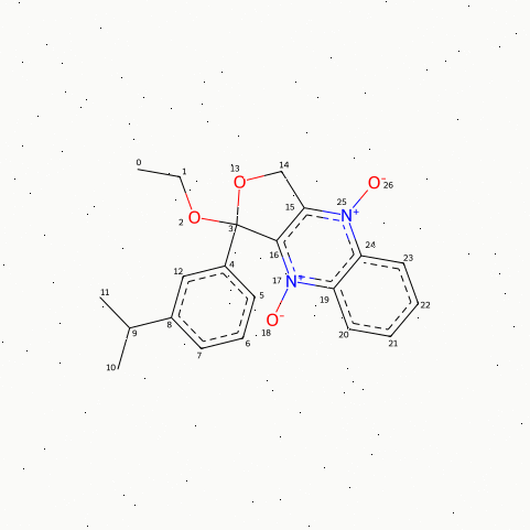 CCOC1(c2cccc(C(C)C)c2)OCc2c1[n+]([O-])c1ccccc1[n+]2[O-]